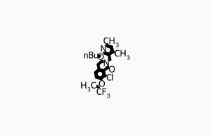 CCCCOc1nc(C)cc(C)c1CN1CCc2ccc(OC(C)C(F)(F)F)c(Cl)c2C1=O